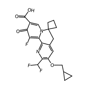 O=C(O)c1cn2c(c(F)c1=O)-c1nc(C(F)F)c(OCC3CC3)cc1CC21CCC1